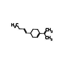 C=C(C)C1=CCC(/C=C/CC)CC1